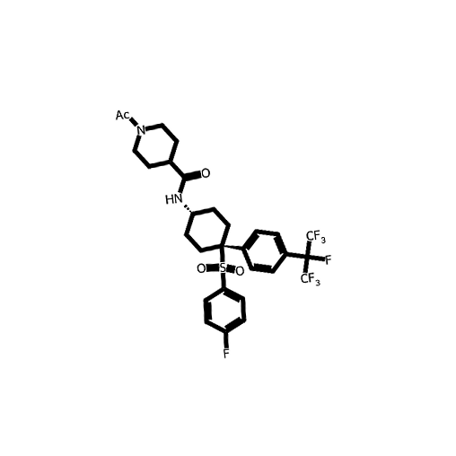 CC(=O)N1CCC(C(=O)N[C@H]2CC[C@@](c3ccc(C(F)(C(F)(F)F)C(F)(F)F)cc3)(S(=O)(=O)c3ccc(F)cc3)CC2)CC1